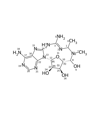 CC(N=C(N)N)N(C)C(O)[C@H]1O[C@@H](n2cnc3c(N)ncnc32)[C@H](O)[C@@H]1O